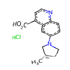 C[C@H]1CCN(c2ccc3nccc(C(=O)O)c3c2)C1.Cl